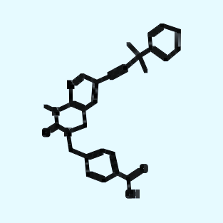 CN1C(=O)N(Cc2ccc(C(=O)O)cc2)Cc2cc(C#CC(C)(C)c3ccccc3)cnc21